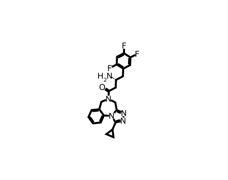 N[C@@H](CC(=O)N1Cc2ccccc2-n2c(nnc2C2CC2)C1)Cc1cc(F)c(F)cc1F